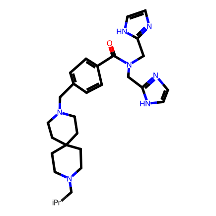 CC(C)CN1CCC2(CCN(Cc3ccc(C(=O)N(Cc4ncc[nH]4)Cc4ncc[nH]4)cc3)CC2)CC1